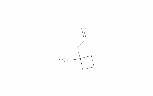 C=CCC1(NC)CCC1